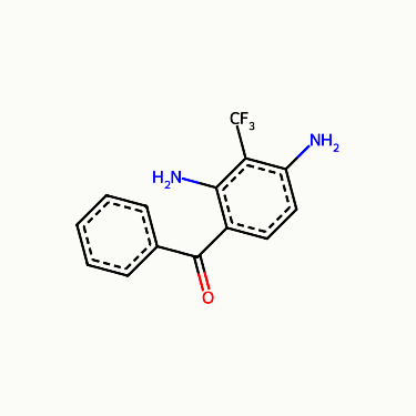 Nc1ccc(C(=O)c2ccccc2)c(N)c1C(F)(F)F